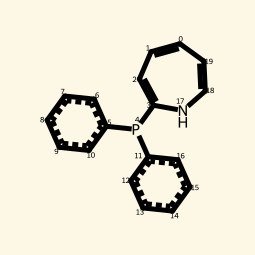 C1=CC=C(P(c2ccccc2)c2ccccc2)NC=C1